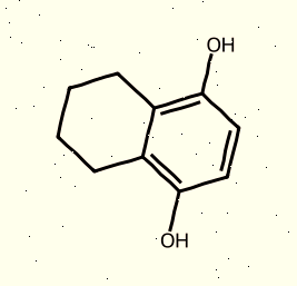 Oc1ccc(O)c2c1CCCC2